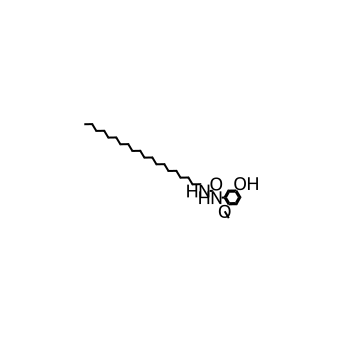 CCCCCCCCCCCCCCCCCCCCNC(=O)Nc1cc(O)ccc1OC